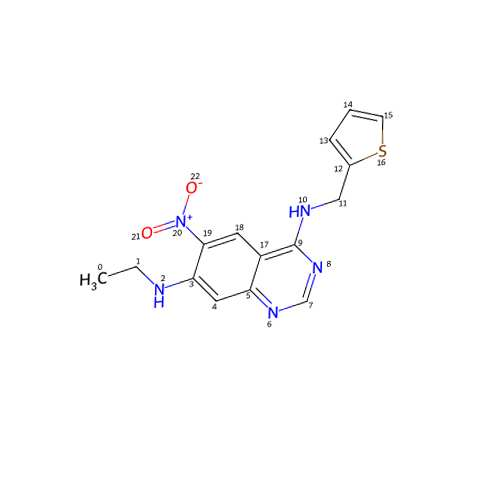 CCNc1cc2ncnc(NCc3cccs3)c2cc1[N+](=O)[O-]